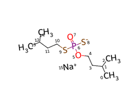 CC(C)CCOP(=O)([S-])SCCC(C)C.[Na+]